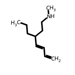 C=CC=CC(CCC)CCNC